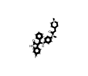 CN1CCC(CC(=O)N(C)c2ccc(NC(=C3C(=O)Nc4cc(F)ccc43)c3ccccc3)cc2)CC1